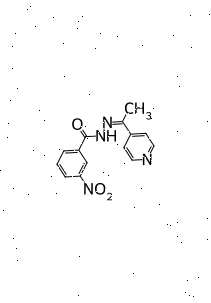 CC(=NNC(=O)c1cccc([N+](=O)[O-])c1)c1ccncc1